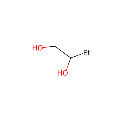 [CH2]CC(O)CO